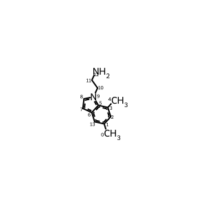 Cc1cc(C)c2c(ccn2CCN)c1